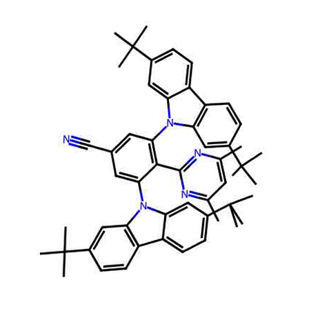 Cc1cc(C)nc(-c2c(-n3c4cc(C(C)(C)C)ccc4c4ccc(C(C)(C)C)cc43)cc(C#N)cc2-n2c3cc(C(C)(C)C)ccc3c3ccc(C(C)(C)C)cc32)n1